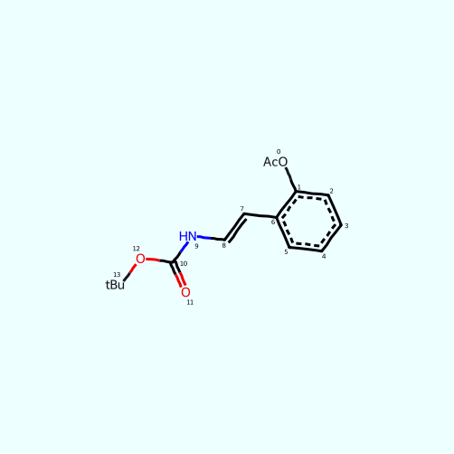 CC(=O)Oc1ccccc1/C=C/NC(=O)OC(C)(C)C